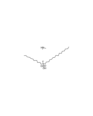 CCCCCCCCCCCCCCCCC(F)(CCCCCCCCCCC)S(=O)(=O)O.CNC